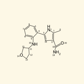 Cc1[nH]c(-c2ccccc2NC2CCOC2)cc1C(N)=O